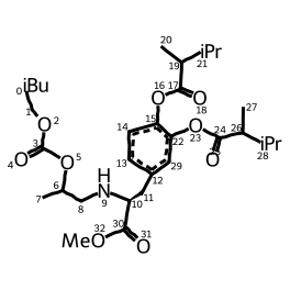 CCC(C)COC(=O)OC(C)CN[C@@H](Cc1ccc(OC(=O)C(C)C(C)C)c(OC(=O)C(C)C(C)C)c1)C(=O)OC